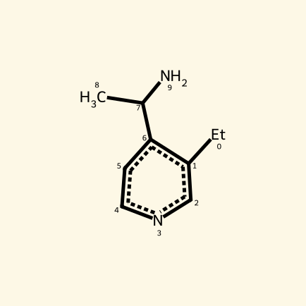 CCc1cnccc1C(C)N